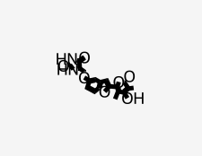 Cc1c(-c2cc3cc(OCC4NC(=O)NC4=O)ccc3o2)oc(=O)c(C)c1O